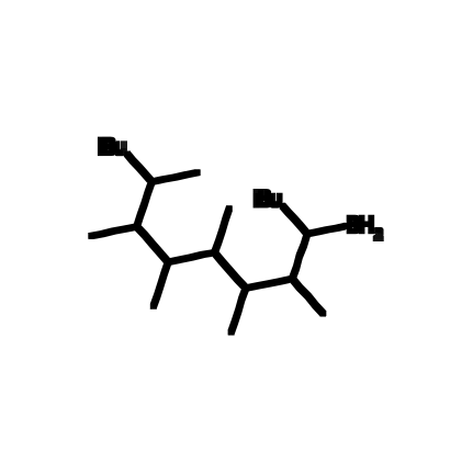 BC(C(C)CC)C(C)C(C)C(C)C(C)C(C)C(C)C(C)CC